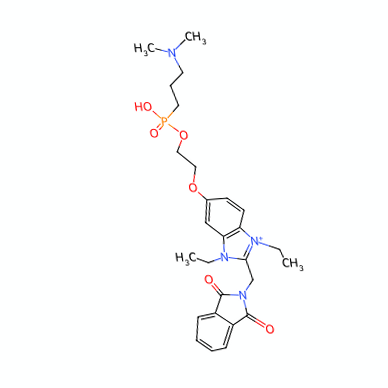 CCn1c(CN2C(=O)c3ccccc3C2=O)[n+](CC)c2ccc(OCCOP(=O)(O)CCCN(C)C)cc21